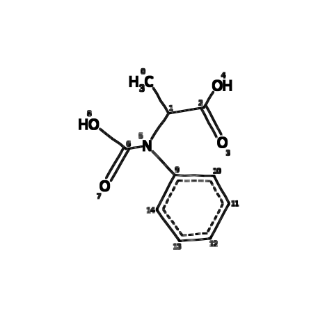 CC(C(=O)O)N(C(=O)O)c1ccccc1